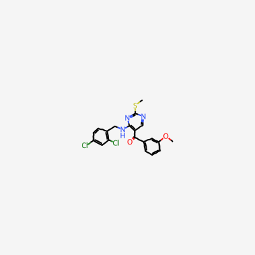 COc1cccc(C(=O)c2cnc(SC)nc2NCc2ccc(Cl)cc2Cl)c1